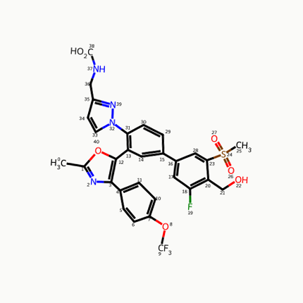 Cc1nc(-c2ccc(OC(F)(F)F)cc2)c(-c2cc(-c3cc(F)c(CO)c(S(C)(=O)=O)c3)ccc2-n2ccc(CNC(=O)O)n2)o1